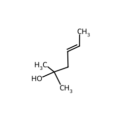 CC=CCC(C)(C)O